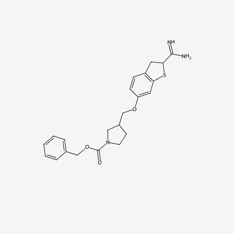 N=C(N)C1Cc2ccc(OCC3CCN(C(=O)OCc4ccccc4)C3)cc2S1